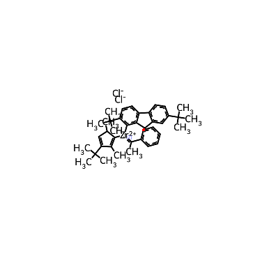 CC1=[C](/[Zr+2](=[C](\C)c2ccccc2)[c]2c(C(C)(C)C)ccc3c2Cc2cc(C(C)(C)C)ccc2-3)C(C)C=C1C(C)(C)C.[Cl-].[Cl-]